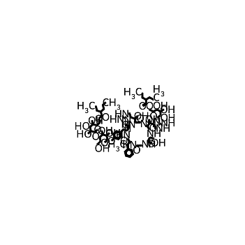 CCCC(CCC)C(=O)OCC1OC(OC2C(CO)OC(Oc3ccc(CC4NC(=O)C(C(C)c5ccccc5)NC(=O)CNC(=O)C(CO)NC(=O)C(C(O)C5CNC(=N)N5C5OC(COC(=O)C(CCC)CCC)C(O)C(O)C5O)NC(=O)C(C(O)C5CNC(=N)N5)NC4=O)cc3)C(O)C2O)C(O)C(O)C1O